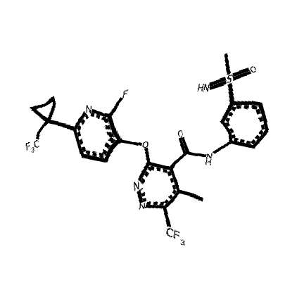 Cc1c(C(F)(F)F)nnc(Oc2ccc(C3(C(F)(F)F)CC3)nc2F)c1C(=O)Nc1cccc(S(C)(=N)=O)c1